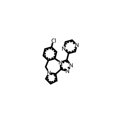 Clc1ccc2c(c1)-n1c(-c3cnccn3)nnc1-c1cccn1C2